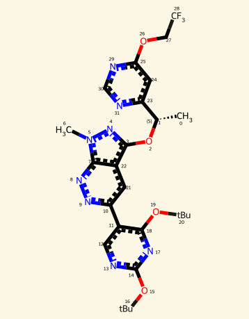 C[C@H](Oc1nn(C)c2nnc(-c3cnc(OC(C)(C)C)nc3OC(C)(C)C)cc12)c1cc(OCC(F)(F)F)ncn1